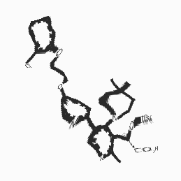 Cc1ncc(-c2ccc(OCCOc3ccccc3Cl)cn2)c(N2CCC(C)(C)CC2)c1[C@H](OC(C)(C)C)C(=O)O